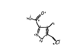 Cc1c(C(=O)O)noc1Cl